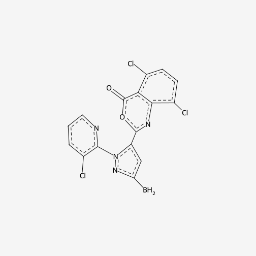 Bc1cc(-c2nc3c(Cl)ccc(Cl)c3c(=O)o2)n(-c2ncccc2Cl)n1